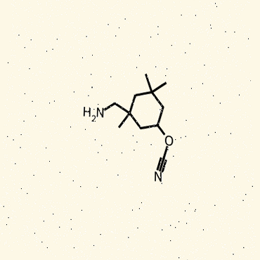 CC1(C)CC(OC#N)CC(C)(CN)C1